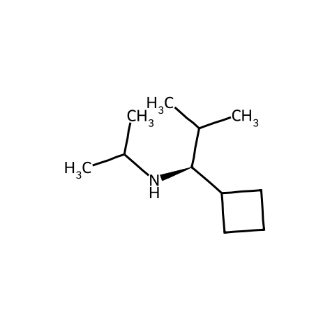 CC(C)N[C@@H](C(C)C)C1CCC1